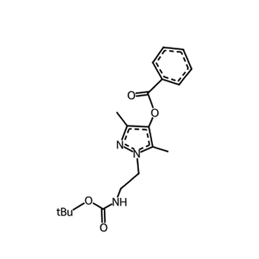 Cc1nn(CCNC(=O)OC(C)(C)C)c(C)c1OC(=O)c1ccccc1